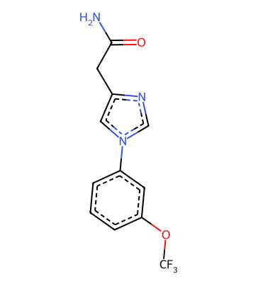 NC(=O)Cc1cn(-c2cccc(OC(F)(F)F)c2)cn1